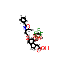 Cc1oc(-c2ccccc2)nc1CCOc1cc2c(c(OS(=O)(=O)C(F)(F)F)c1)C(CC(=O)O)CC2